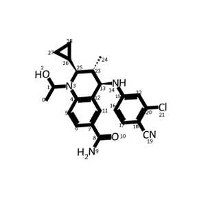 CC(O)N1c2ccc(C(N)=O)cc2[C@H](Nc2ccc(C#N)c(Cl)c2)[C@@H](C)[C@@H]1C1CC1